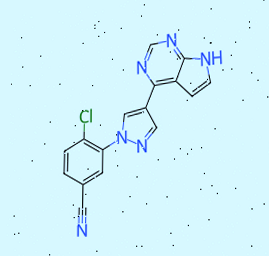 N#Cc1ccc(Cl)c(-n2cc(-c3ncnc4[nH]ccc34)cn2)c1